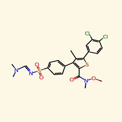 CON(C)C(=O)c1sc(-c2ccc(Cl)c(Cl)c2)c(C)c1-c1ccc(S(=O)(=O)N=CN(C)C)cc1